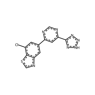 Clc1cc(-c2cc(-c3nn[nH]n3)ncn2)cc2ncsc12